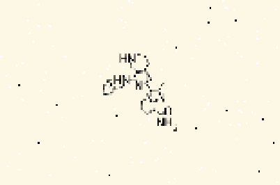 Cc1nc2c(C(N)=O)cccn2c1-c1nc2c(c(NCc3cccs3)n1)CNCCC2